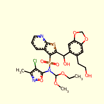 CCOC(OC)N(c1onc(C)c1Cl)S(=O)(=O)c1c(C(O)c2cc3c(cc2CCO)OCO3)sc2ncccc12